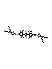 CCCCN(CCCC)c1ncc(C#Cc2cc(O)c(C3=C([O-])C(=c4c(O)cc(=C=C=C5C=NC(=[N+](CCCC)CCCC)S5)cc4O)C3=O)c(O)c2)s1